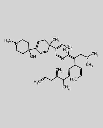 C=CCC(=C)C(C)C=CC(/C=C\C)\C(CN(C)C)=C(C)/N=C\C(=C/C)[C@]1(C)C=CC(C2(O)CCN(C)CC2)=CC1